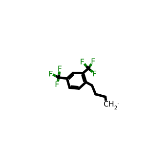 [CH2]CCCc1ccc(C(F)(F)F)cc1C(F)(F)F